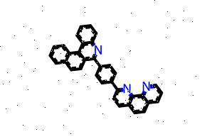 c1ccc2c(c1)ccc1c(-c3ccc(-c4ccc5ccc6cccnc6c5n4)cc3)nc3ccccc3c12